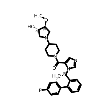 CO[C@H]1CN(C2CCN(C(=O)c3cncn3[C@@H](C)c3ccccc3-c3ccc(F)cc3)CC2)C[C@@H]1O